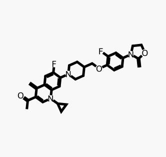 C=C1C(C(C)=O)=CN(C2CC2)c2cc(N3CCC(COc4ccc(N5CCOC5=C)cc4F)CC3)c(F)cc21